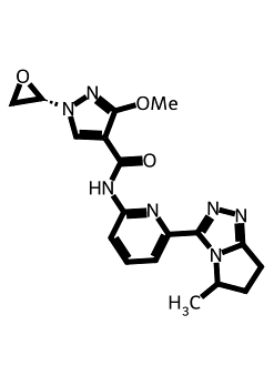 COc1nn([C@@H]2CO2)cc1C(=O)Nc1cccc(-c2nnc3n2C(C)CC3)n1